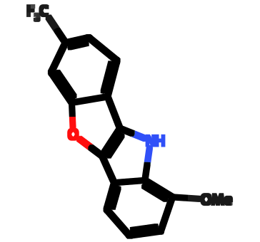 COc1cccc2c1[nH]c1c3ccc(C(F)(F)F)cc3oc21